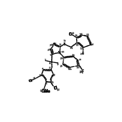 COc1c(Cl)cc(C(C)(C)c2cnc(SCc3c(F)cccc3Cl)n2-c2ccc(F)cc2)cc1Cl